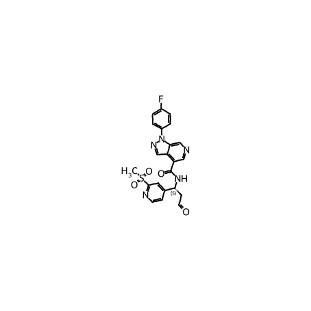 CS(=O)(=O)c1cc([C@H](CC=O)NC(=O)c2cncc3c2cnn3-c2ccc(F)cc2)ccn1